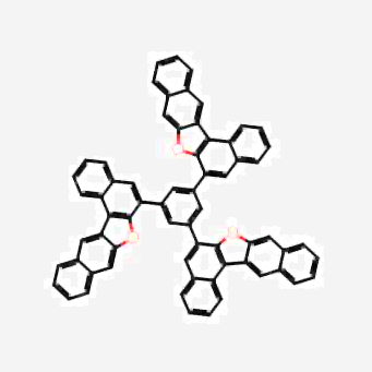 c1ccc2cc3c(cc2c1)oc1c(-c2cc(-c4cc5ccccc5c5c4oc4cc6ccccc6cc45)cc(-c4cc5ccccc5c5c4oc4cc6ccccc6cc45)c2)cc2ccccc2c13